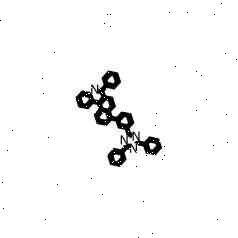 c1ccc(-c2nc(-c3ccccc3)nc(-c3cccc(-c4cccc5c4ccc4c(-c6ccccc6)nc6ccccc6c45)c3)n2)cc1